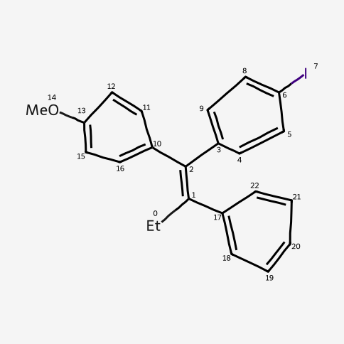 CC/C(=C(/c1ccc(I)cc1)c1ccc(OC)cc1)c1ccccc1